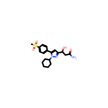 CS(=O)(=O)c1ccc(-c2cc(C(O)CC(N)=O)nn2C2CCCCC2)cc1